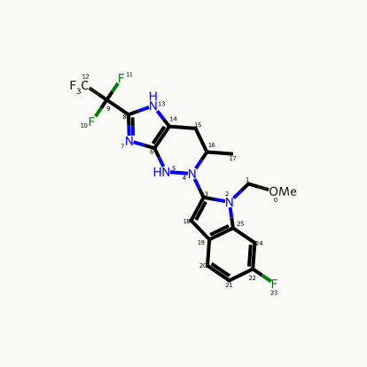 COCn1c(N2Nc3nc(C(F)(F)C(F)(F)F)[nH]c3CC2C)cc2ccc(F)cc21